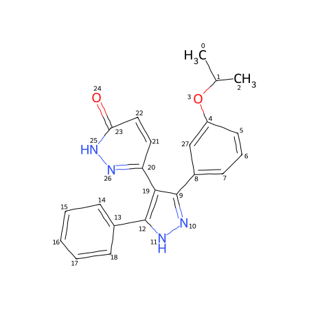 CC(C)Oc1cccc(-c2n[nH]c(-c3ccccc3)c2-c2ccc(=O)[nH]n2)c1